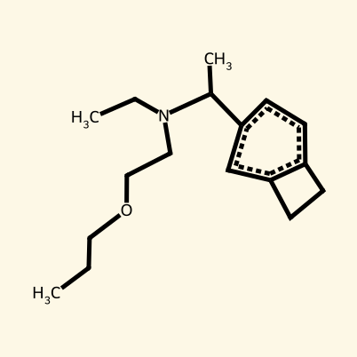 CCCOCCN(CC)C(C)c1ccc2c(c1)CC2